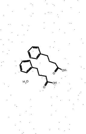 O.O=C(O)CCCc1ccccc1.O=C(O)CCCc1ccccc1